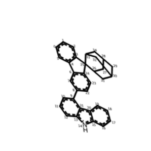 c1ccc2c(c1)-c1cc(-c3cccc4[nH]c5ccccc5c34)ccc1C21C2CC3CC(C2)CC1C3